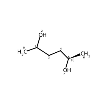 CC(O)CC[C@@H](C)O